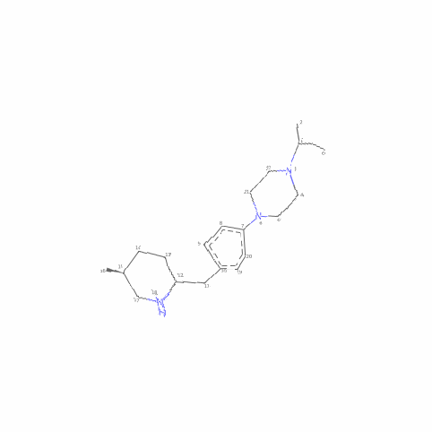 CC(C)N1CCN(c2ccc(CC3CC[C@H](C)CN3)cc2)CC1